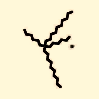 CCCCCCCCCC[N+](CCCCCC)(CCCCCC)CCCCCCCCCC.[Br-]